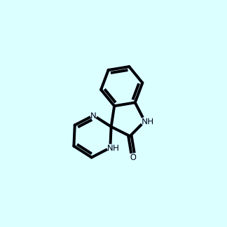 O=C1Nc2ccccc2C12N=CC=CN2